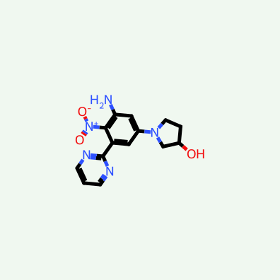 Nc1cc(N2CCC(O)C2)cc(-c2ncccn2)c1[N+](=O)[O-]